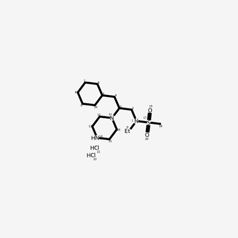 CCN(CC(CC1CCCCC1)N1CCNCC1)S(C)(=O)=O.Cl.Cl